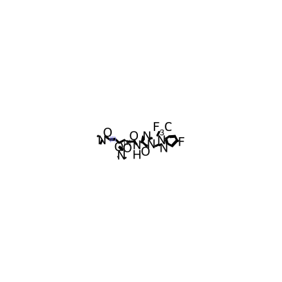 CN(C)C(=O)/C=C/CC[C@H](OC(=O)N(C)C)C(=O)Nc1cncn(Cc2nc3cc(F)ccc3n2CCC(F)(F)F)c1=O